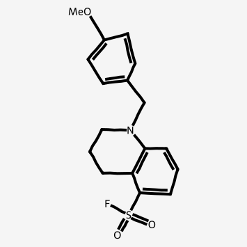 COc1ccc(CN2CCCc3c2cccc3S(=O)(=O)F)cc1